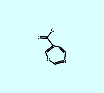 O=C(O)C1=COC=NC=C1